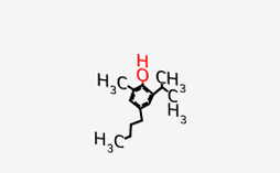 CCCCc1cc(C)c(O)c(C(C)C)c1